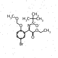 CCOC(=O)C(=N[S+]([O-])C(C)(C)C)c1cc(Br)ccc1OCOC